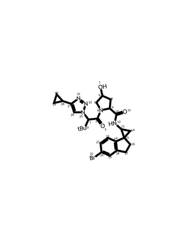 CC(C)(C)C(C(=O)N1CC(O)CC1C(=O)NC1CC12CCc1cc(Br)ccc12)n1cc(C2CC2)nn1